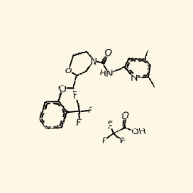 Cc1cc(C)nc(NC(=O)N2CCOC(COc3ccccc3C(F)(F)F)C2)c1.O=C(O)C(F)(F)F